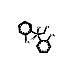 Cc1ccccc1P(O)(O)(CC(C)C)c1ccccc1C